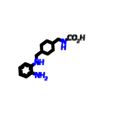 Nc1ccccc1NCC1CCC(CNC(=O)O)CC1